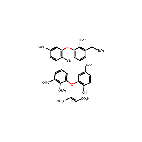 CNCc1cccc(Oc2cc(OC)ccc2C#N)c1OC.COc1ccc(C#N)c(Oc2cccc(C=O)c2OC)c1.O=C(O)/C=C/C(=O)O